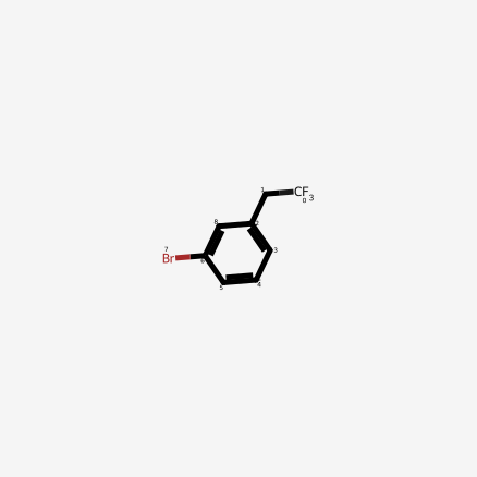 FC(F)(F)Cc1c[c]cc(Br)c1